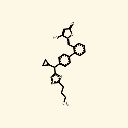 CCCCc1nc(C(c2ccc(-c3ccccc3/C=C3\OC(=O)C=C3O)cc2)C2CC2)n[nH]1